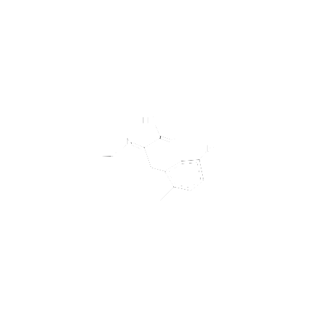 CO/N=C(\Cc1cc(Br)ccc1C)C(=O)O